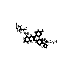 Cn1cnc(C(=O)NNc2nccc3nc(-c4ccc(C5(N(C(=O)O)C(C)(C)C)CCC5)cc4)c(-c4ccc(F)cc4)cc23)c1